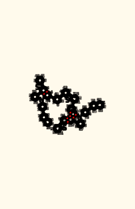 c1cc(-c2cccc(N(c3ccc(-c4ccc5ccccc5c4)cc3)c3ccccc3-c3cccc4c3sc3ccccc34)c2)cc(-c2cccc3c2sc2c(-c4ccc5c(c4)sc4c(-c6ccccc6N(c6ccc(-c7ccc8ccccc8c7)cc6)c6cccc(-c7ccc8c(c7)sc7ccccc78)c6)cccc45)cccc23)c1